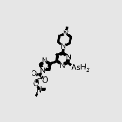 CN1CCN(c2cc(-c3cn(S(=O)(=O)ON(C)C)cn3)nc([AsH2])n2)CC1